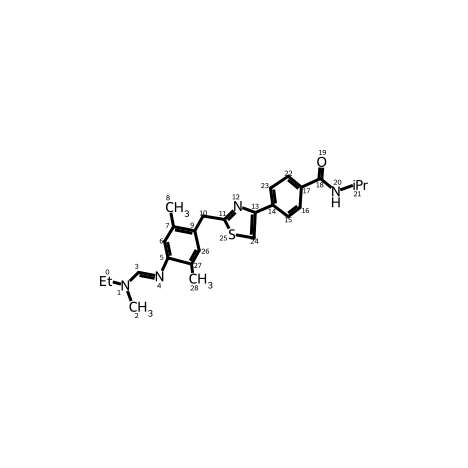 CCN(C)C=Nc1cc(C)c(Cc2nc(-c3ccc(C(=O)NC(C)C)cc3)cs2)cc1C